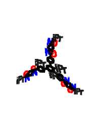 CC(C)c1nc2cc3nc(-c4ccc(-c5c(C(C)C)c(-c6ccc(-c7nc8cc9nc(C(C)C)oc9cc8o7)cc6)c(C(C)C)c(-c6ccc(-c7nc8cc9nc(C(C)C)oc9cc8o7)cc6)c5C(C)C)cc4)oc3cc2o1